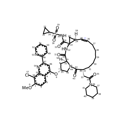 COc1ccc2c(O[C@@H]3C[C@H]4C(=O)N[C@]5(C(=O)NS(=O)(=O)C6CC6)C[C@H]5/C=C\CCCCC[C@H](CC(=O)N5CCCCC5)C(=O)N4C3)cc(-c3ccccn3)nc2c1Cl